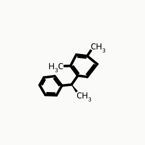 Cc1ccc([C@@H](C)c2ccccc2)c(C)c1